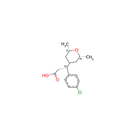 C[C@@H]1CC([C@@H](CC(=O)O)c2ccc(Cl)cc2)C[C@H](C)O1